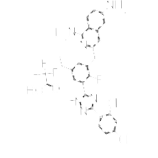 CCc1cc(Cc2cc3cc(N)ccc3c(N)n2)c(F)c(-c2nc(-c3ccc(Cl)cc3Cl)nn2C)c1.O=C(O)C(F)(F)F